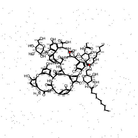 CCCCCCCCC(=O)NC1[C@H](Oc2c3cc4cc2Oc2ccc(cc2Cl)[C@@H](O[C@@H]2OC(CO)[C@@H](O)C(O)[C@@H]2NC(C)=O)[C@@H]2NC(=O)[C@H](NC(=O)[C@@H]4NC(=O)[C@H]4NC(=O)[C@@H](Cc5ccc(c(Cl)c5)O3)NC(=O)[C@H](N)c3ccc(O)c(c3)Oc3cc(O)cc4c3)c3ccc(O)c(c3)-c3c(O[C@H]4OC(CO)[C@@H](O)[C@@H](O)C4O)cc(O)cc3[C@@H](C(=O)O)NC2=O)OC(COC(=O)CCCCCCC)[C@@H](O)[C@@H]1O